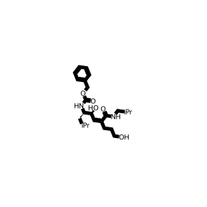 CC(C)CNC(=O)C(=C[C@H](O)[C@H](CC(C)C)NC(=O)OCc1ccccc1)CCCO